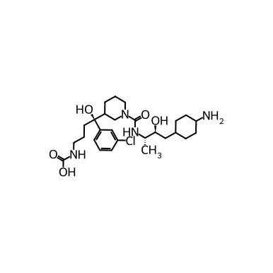 C[C@H](NC(=O)N1CCCC([C@@](O)(CCCNC(=O)O)c2cccc(Cl)c2)C1)[C@@H](O)CC1CCC(N)CC1